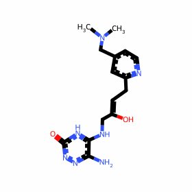 CN(C)Cc1ccnc(C/C=C(\O)CNc2[nH]c(=O)nnc2N)c1